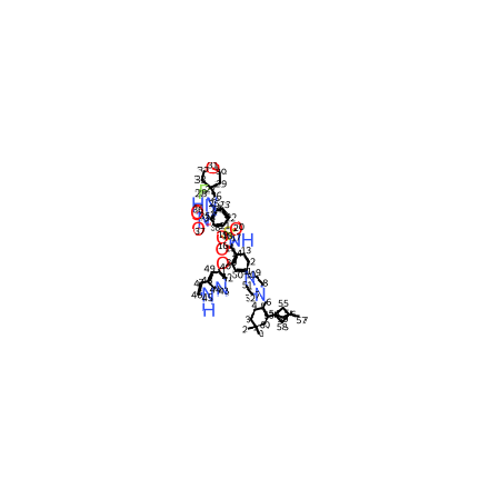 CC1(C)CCC(CN2CCN(c3ccc(C(=O)NS(=O)(=O)c4ccc(NCC5(F)CCOCC5)c([N+](=O)[O-])c4)c(Oc4cnc5[nH]ccc5c4)c3)CC2)=C(C23CC(C)(C2)C3)C1